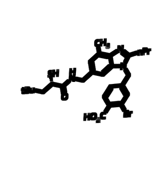 CCCc1nc2c(C)cc(CNC(=O)[C@@H](S)CC(C)(C)C)cc2n1Cc1ccc(C(=O)O)c(Br)c1